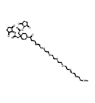 COCCOCCOCCOCCOCCOCCOCCOCCC(=O)N1CCC(CC(=O)ON2C(=O)CCC2=O)(CC(=O)ON2C(=O)CCC2=O)CC1